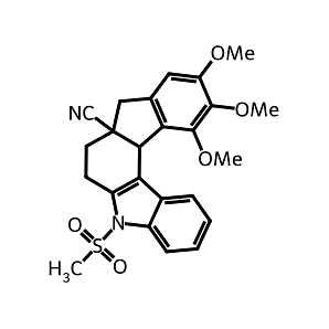 COc1cc2c(c(OC)c1OC)C1c3c(n(S(C)(=O)=O)c4ccccc34)CCC1(C#N)C2